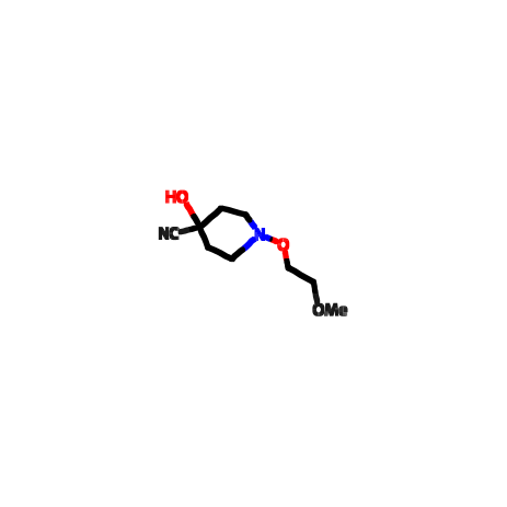 COCCON1CCC(O)(C#N)CC1